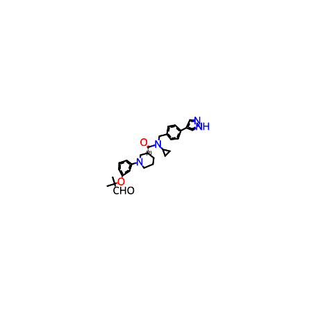 CC(C)(C=O)Oc1cccc(N2CCC[C@@H](C(=O)N(Cc3ccc(-c4cn[nH]c4)cc3)C3CC3)C2)c1